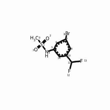 CS(=O)(=O)Nc1cc(Br)cc(C(F)F)c1